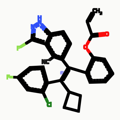 C=CC(=O)Oc1ccccc1/C(=C(/c1ccc(F)cc1Cl)C1CCC1)c1ccc2[nH]nc(F)c2c1C#N